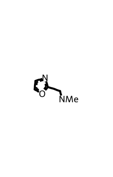 CNCc1ncco1